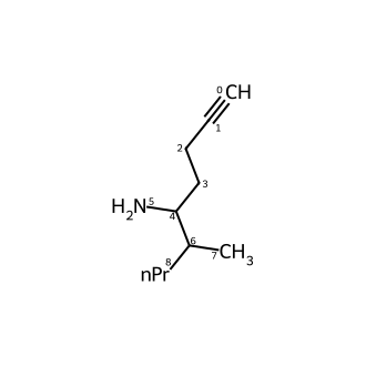 C#CCCC(N)C(C)CCC